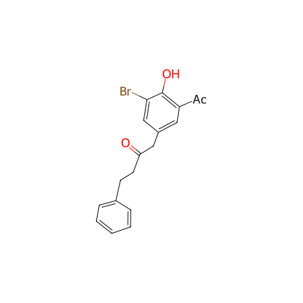 CC(=O)c1cc(CC(=O)CCc2ccccc2)cc(Br)c1O